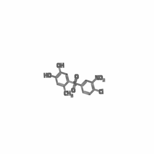 Cc1cc(O)c(O)cc1S(=O)(=O)c1ccc(Cl)c([N+](=O)[O-])c1